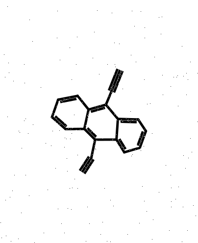 C#Cc1c2ccccc2c(C#C)c2ccccc12